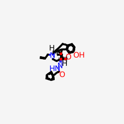 C=CCN1CC[C@H]2C3C4c5c6ccc(O)c5O[C@H]2/C(=N/NC(=O)c2ccccc2)CC[C@@]43[C@H]1C6